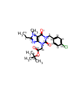 CCc1nc2c(c(=O)n(Cc3ccc(Cl)cc3)c(=O)n2CC(=O)OC(C)(C)C)n1C